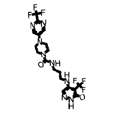 O=C(NCCCNc1cn[nH]c(=O)c1C(F)(F)F)N1CCN(c2cnc(C(F)(F)F)nc2)CC1